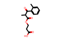 Cc1ccccc1C(=O)C(C)C(=O)OCCC(=O)O